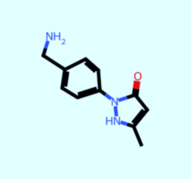 Cc1cc(=O)n(-c2ccc(CN)cc2)[nH]1